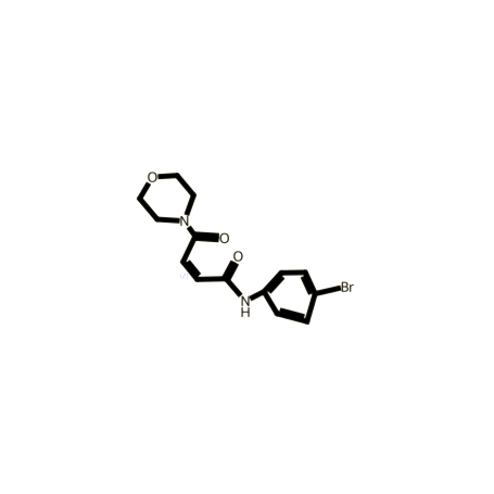 O=C(/C=C\C(=O)N1CCOCC1)Nc1ccc(Br)cc1